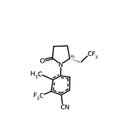 Cc1c(N2C(=O)CC[C@@H]2CC(F)(F)F)ccc(C#N)c1C(F)(F)F